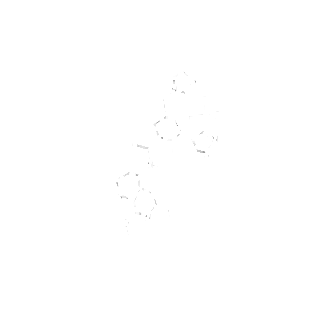 CCc1cc2c(N3CCc4c(cc(Cn5ccnc5)cc4-c4cn(C)nc4C(F)(F)F)C3=O)ccnc2c(OC)n1